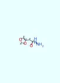 NNC(=O)CC1=COCO1